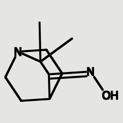 CC1(C)C(=NO)C2CCN1CC2